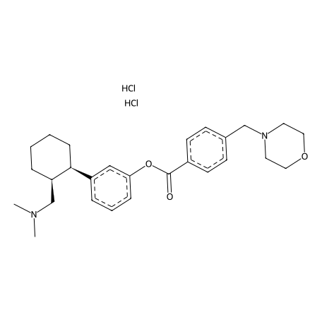 CN(C)C[C@H]1CCCC[C@H]1c1cccc(OC(=O)c2ccc(CN3CCOCC3)cc2)c1.Cl.Cl